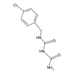 NC(=O)NC(=O)NCc1ccc(Cl)cc1